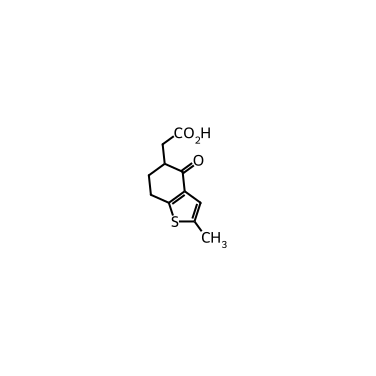 Cc1cc2c(s1)CCC(CC(=O)O)C2=O